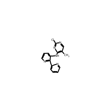 Cc1cnc(Cl)nc1Nc1cccnc1-c1ccccn1